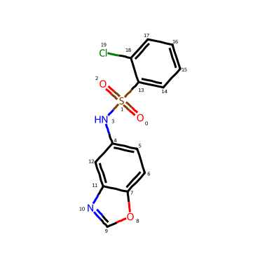 O=S(=O)(Nc1ccc2ocnc2c1)c1ccccc1Cl